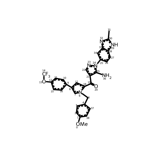 COc1ccc(Cn2cc(-c3ccc(OC(F)(F)F)cc3)cc2C(=O)c2cnn(-c3ccc4[nH]c(C)nc4c3)c2N)cc1